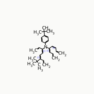 C=C/C=C\C(=C/C=C)N(/C(C=C)=C/C=C(\C=C)C(C)(C)C)c1ccc(C(C)(C)C)cc1